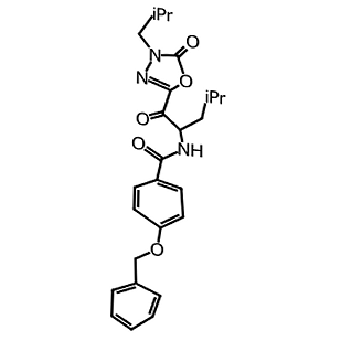 CC(C)CC(NC(=O)c1ccc(OCc2ccccc2)cc1)C(=O)c1nn(CC(C)C)c(=O)o1